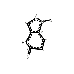 Cn1ncc2[nH]c(=O)ccc21